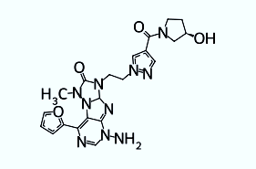 CN1C(=O)N(CCn2cc(C(=O)N3CC[C@@H](O)C3)cn2)C2N=C3C(=C(c4ccco4)N=CN3N)N21